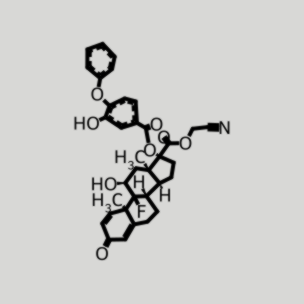 C[C@]12C=CC(=O)C=C1CC[C@H]1[C@@H]3CC[C@@](OC(=O)c4ccc(Oc5ccccc5)c(O)c4)(C(=O)OCC#N)[C@@]3(C)C[C@H](O)C12F